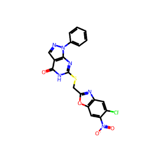 O=c1[nH]c(SCc2nc3cc(Cl)c([N+](=O)[O-])cc3o2)nc2c1cnn2-c1ccccc1